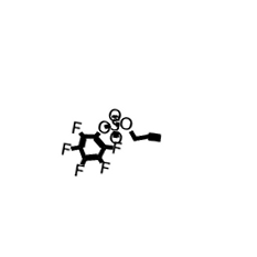 C#CCOS(=O)(=O)Oc1c(F)c(F)c(F)c(F)c1F